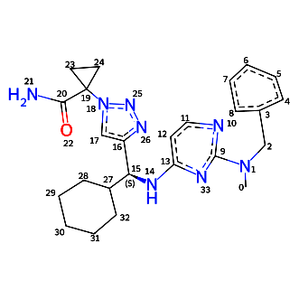 CN(Cc1ccccc1)c1nccc(N[C@H](c2cn(C3(C(N)=O)CC3)nn2)C2CCCCC2)n1